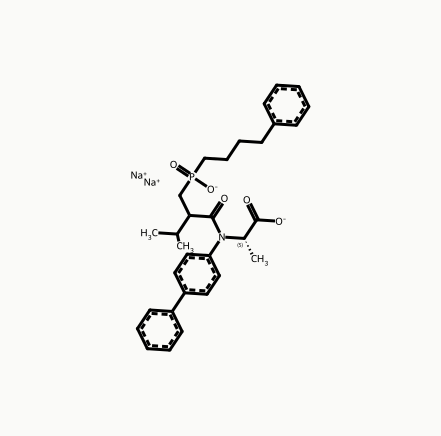 CC(C)C(CP(=O)([O-])CCCCc1ccccc1)C(=O)N(c1ccc(-c2ccccc2)cc1)[C@@H](C)C(=O)[O-].[Na+].[Na+]